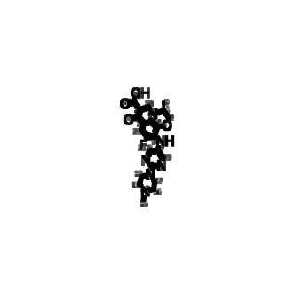 C[C@H]1COc2c(Nc3cnc(N4CCN(C)CC4)nc3)c(F)cc3c(=O)c(C(=O)O)cn1c23